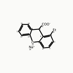 CCc1cccc2c1C(C(=O)[O-])c1ccccc1O2.[Na+]